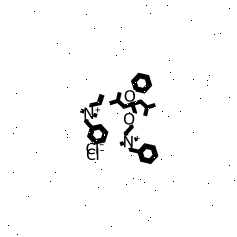 C=CC[N+](C)(C)Cc1ccccc1.CC(C)CC(COCC[N+](C)(C)Cc1ccccc1)(CC(C)C)Oc1ccccc1.[Cl-].[Cl-]